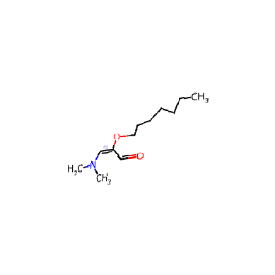 CCCCCCCO/C(C=O)=C/N(C)C